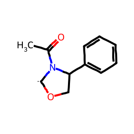 CC(=O)N1[CH]OCC1c1ccccc1